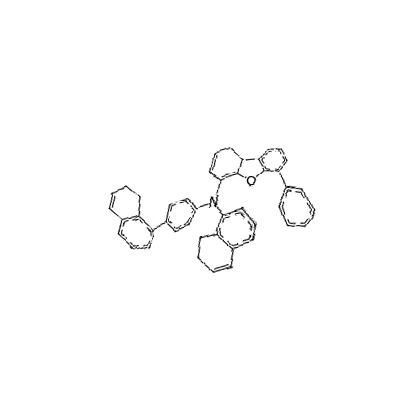 C1=Cc2cccc(-c3ccc(N(C4=C5Oc6c(-c7ccccc7)cccc6C5CC=C4)c4cccc5c4CCC=C5)cc3)c2CC1